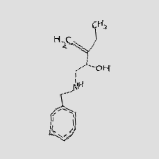 C=C(CC)C(O)CNCc1ccccc1